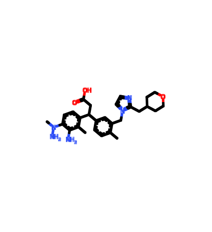 Cc1ccc(C(CC(=O)O)c2ccc(N(C)N)c(N)c2C)cc1Cn1ccnc1CC1CCOCC1